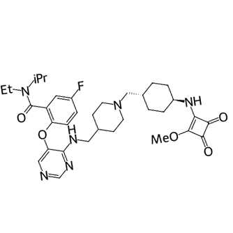 CCN(C(=O)c1cc(F)ccc1Oc1cncnc1NCC1CCN(C[C@H]2CC[C@H](Nc3c(OC)c(=O)c3=O)CC2)CC1)C(C)C